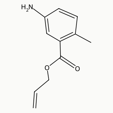 C=CCOC(=O)c1cc(N)ccc1C